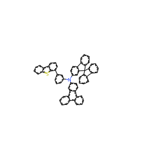 c1cc(-c2cccc3c2sc2ccccc23)cc(N(c2ccc3c(c2)C2(c4ccccc4-c4ccccc42)c2ccccc2-3)c2ccc3c4ccccc4c4ccccc4c3c2)c1